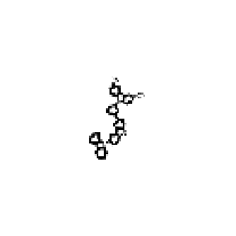 N#Cc1ccc2c(c1)c1cc(C#N)ccc1n2C1C=CC=C(c2ccc3sc4ccc(-n5c6ccccc6c6ccccc65)cc4c3c2)C1